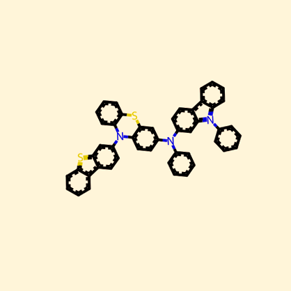 c1ccc(N(c2ccc3c(c2)Sc2ccccc2N3c2ccc3c(c2)sc2ccccc23)c2ccc3c4ccccc4n(-c4ccccc4)c3c2)cc1